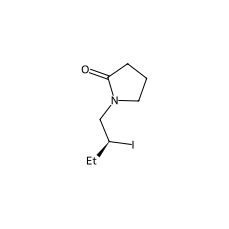 CC[C@H](I)CN1CCCC1=O